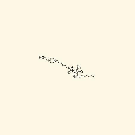 CCCCCCCOc1nsc(NC(=O)NCCCCCCN2CCN(CCO)CC2)c1C(N)=O